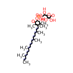 C/C=C/C(C)=C/C=C/C(C)=C/C=C/C=C(C)/C=C/C=C(C)/C=C/C1=C(C)C(=O)C(OP(=O)(O)OC[C@H](O)[C@H]2OC(=O)C(O)=C2O)CC1(C)C